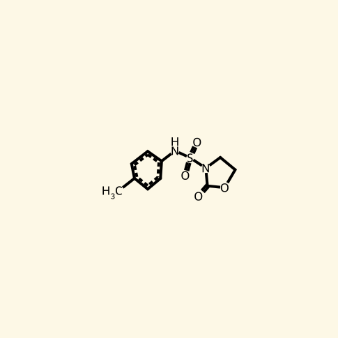 Cc1ccc(NS(=O)(=O)N2CCOC2=O)cc1